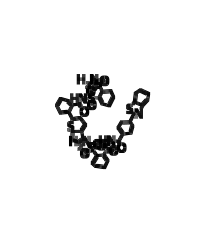 NS(=O)(=O)c1ccccc1S(=O)(=O)NC(=O)c1ccc(-c2nc3ccccc3s2)cc1.NS(=O)(=O)c1ccccc1S(=O)(=O)NC(=O)c1ccccc1-c1ccc2cccc-2s1